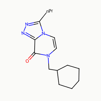 CCCc1nnc2c(=O)n(CC3CCCCC3)ccn12